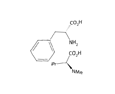 CN[C@H](C(=O)O)C(C)C.N[C@H](Cc1ccccc1)C(=O)O